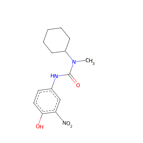 CN(C(=O)Nc1ccc(O)c([N+](=O)[O-])c1)C1CCCCC1